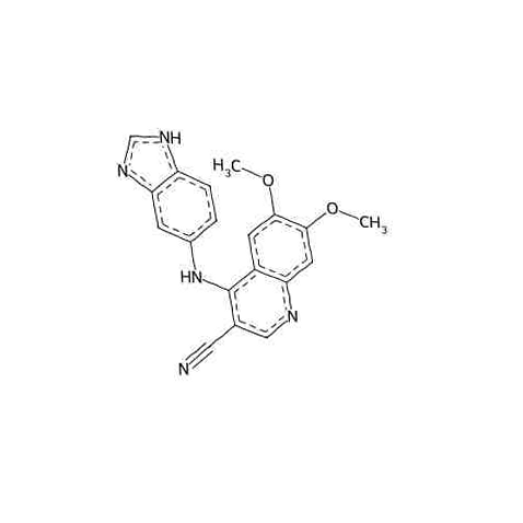 COc1cc2ncc(C#N)c(Nc3ccc4[nH]cnc4c3)c2cc1OC